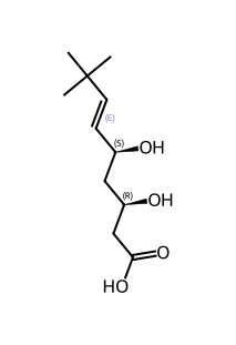 CC(C)(C)/C=C/[C@@H](O)C[C@@H](O)CC(=O)O